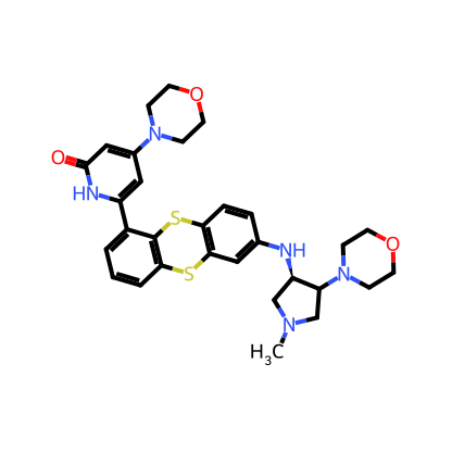 CN1CC(N2CCOCC2)[C@H](Nc2ccc3c(c2)Sc2cccc(-c4cc(N5CCOCC5)cc(=O)[nH]4)c2S3)C1